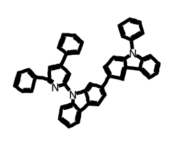 c1ccc(-c2cc(-c3ccccc3)nc(-n3c4ccccc4c4ccc(-c5ccc6c(c5)c5ccccc5n6-c5ccccc5)cc43)c2)cc1